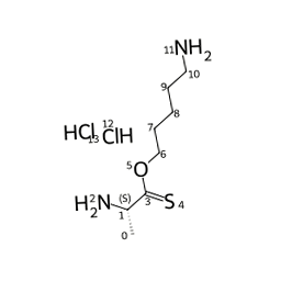 C[C@H](N)C(=S)OCCCCCN.Cl.Cl